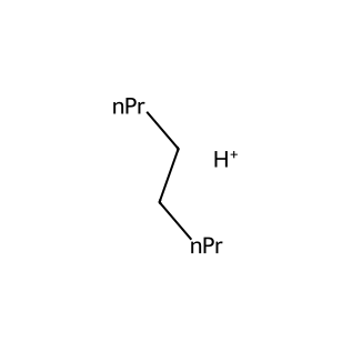 CCCCCCCC.[H+]